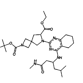 CCOC(=O)C1CC2(CN(C(=O)OC(C)(C)C)C2)CN1c1nc2c(c(NC(CC(=O)NC)CC(C)C)n1)CCCC2